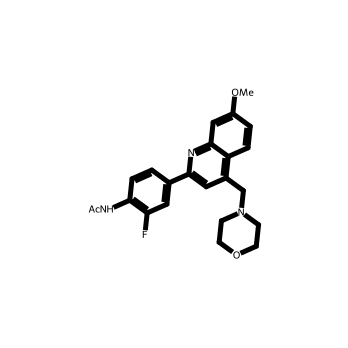 COc1ccc2c(CN3CCOCC3)cc(-c3ccc(NC(C)=O)c(F)c3)nc2c1